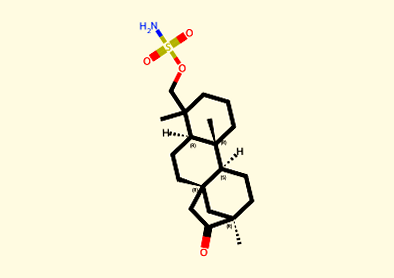 CC1(COS(N)(=O)=O)CCC[C@@]2(C)[C@H]1CC[C@@]13CC(=O)[C@](C)(CC[C@@H]12)C3